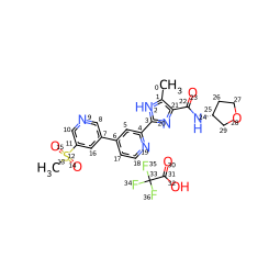 Cc1[nH]c(-c2cc(-c3cncc(S(C)(=O)=O)c3)ccn2)nc1C(=O)N[C@@H]1CCOC1.O=C(O)C(F)(F)F